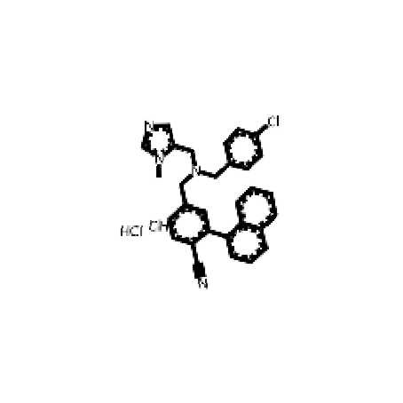 Cl.Cl.Cn1cncc1CN(Cc1ccc(Cl)cc1)Cc1ccc(C#N)c(-c2cccc3ccccc23)c1